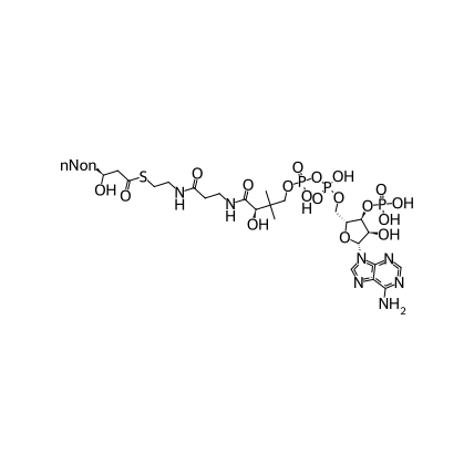 CCCCCCCCC[C@H](O)CC(=O)SCCNC(=O)CCNC(=O)[C@H](O)C(C)(C)COP(=O)(O)OP(=O)(O)OC[C@H]1O[C@@H](n2cnc3c(N)ncnc32)[C@H](O)[C@@H]1OP(=O)(O)O